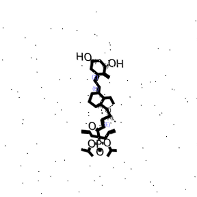 C=CCC(CC=C)(C(=O)/C=C/[C@@H](C)[C@H]1CCC2/C(=C/C=C3/C[C@@H](O)C[C@H](O)C3=C)CCC[C@@]21C)P(=O)(OC(C)C)OC(C)C